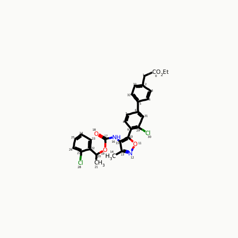 CCOC(=O)Cc1ccc(-c2ccc(-c3onc(C)c3NC(=O)OC(C)c3ccccc3Cl)c(Cl)c2)cc1